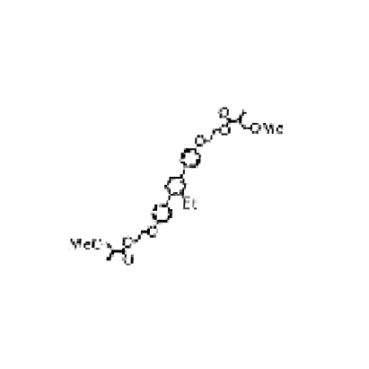 C=C(COC)C(=O)OCCOc1ccc(-c2ccc(-c3ccc(OCCOC(=O)C(=C)COC)cc3)c(CC)c2)cc1